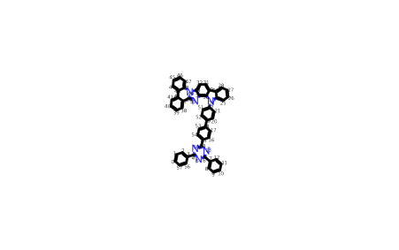 c1ccc(-c2nc(-c3ccccc3)nc(-c3ccc(-c4ccc(-n5c6ccccc6c6ccc7c(nc8c9ccccc9c9ccccc9n78)c65)cc4)cc3)n2)cc1